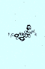 C[C@@H](OC[C@@]1(c2ccccc2)CC[C@@](CC(=O)c2ccccn2)(C(N)=O)CN1)c1cc(C(F)(F)F)cc(C(F)(F)F)c1